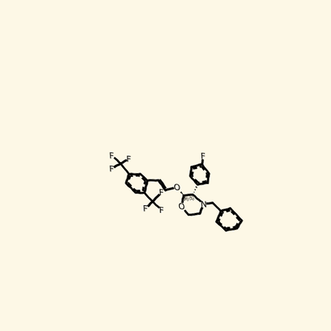 Fc1ccc([C@H]2[C@@H](OC=Cc3cc(C(F)(F)F)ccc3C(F)(F)F)OCCN2Cc2ccccc2)cc1